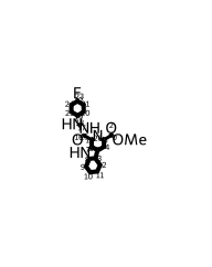 COC(=O)c1cc2c([nH]c3ccccc32)c(C(=O)NNc2ccc(F)cc2)n1